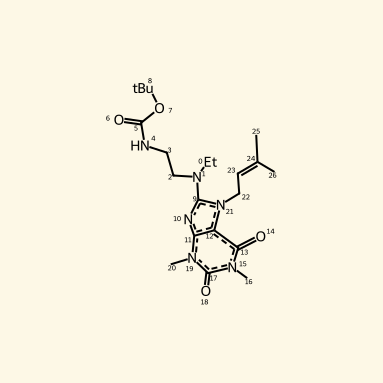 CCN(CCNC(=O)OC(C)(C)C)c1nc2c(c(=O)n(C)c(=O)n2C)n1CC=C(C)C